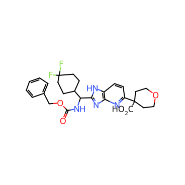 O=C(NC(c1nc2nc(C3(C(=O)O)CCOCC3)ccc2[nH]1)C1CCC(F)(F)CC1)OCc1ccccc1